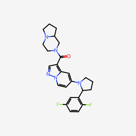 O=C(c1cnn2ccc(N3CCCC3c3cc(F)ccc3F)cc12)N1CCN2CCCC2C1